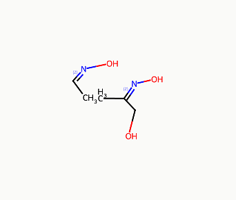 C/C(CO)=N/O.C/C=N\O